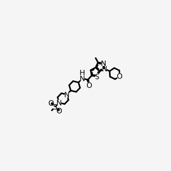 Cc1nn(C2CCOCC2)c2sc(C(=O)NC3CCC(N4CCN(S(C)(=O)=O)CC4)CC3)cc12